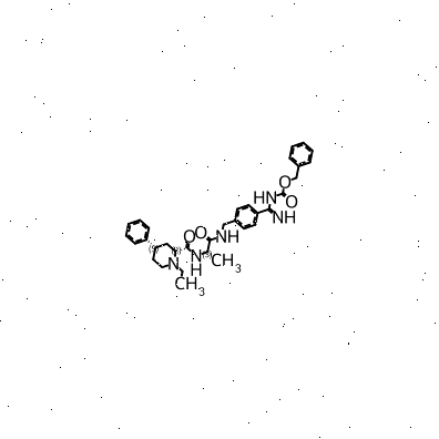 CCN1CC[C@H](c2ccccc2)C[C@@H]1C(=O)N[C@@H](C)C(=O)NCc1ccc(C(=N)NC(=O)OCc2ccccc2)cc1